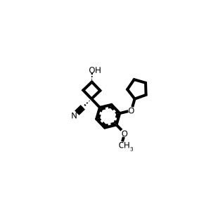 COc1ccc([C@]2(C#N)C[C@@H](O)C2)cc1OC1CCCC1